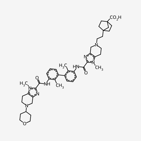 Cc1c(NC(=O)c2nc3c(n2C)CCN(CCC24CCC(C(=O)O)(CC2)C4)C3)cccc1-c1cccc(NC(=O)c2nc3c(n2C)CCN(C2CCOCC2)C3)c1C